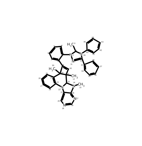 CC1N(c2ccccc2C2=CC3(C)C4N(C)c5ncncc5N4C4=C(C=C=C=C4)C23C)N=C(c2ccccc2)N1c1ccccc1